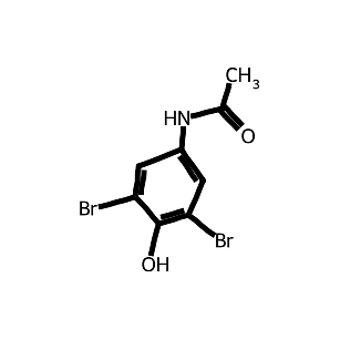 CC(=O)Nc1cc(Br)c(O)c(Br)c1